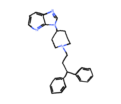 c1ccc(C(CCN2CCC(n3cnc4cccnc43)CC2)c2ccccc2)cc1